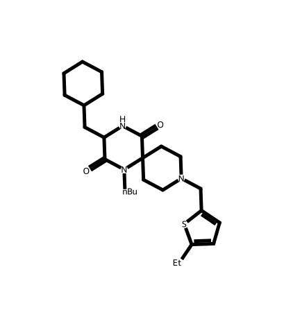 CCCCN1C(=O)C(CC2CCCCC2)NC(=O)C12CCN(Cc1ccc(CC)s1)CC2